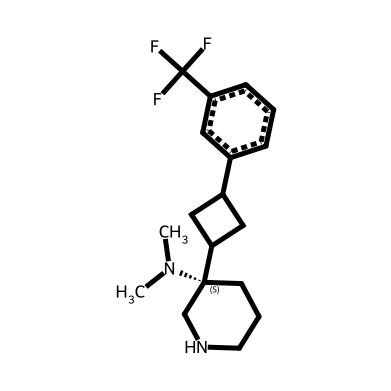 CN(C)[C@]1(C2CC(c3cccc(C(F)(F)F)c3)C2)CCCNC1